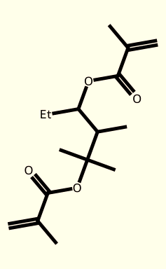 C=C(C)C(=O)OC(CC)C(C)C(C)(C)OC(=O)C(=C)C